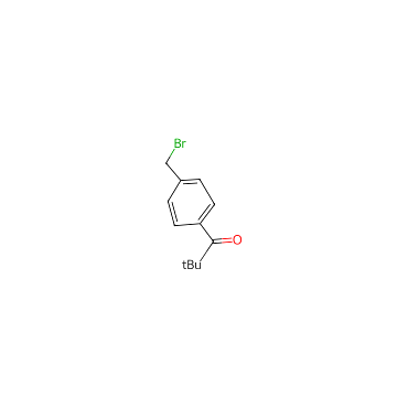 CC(C)(C)C(=O)c1ccc(CBr)cc1